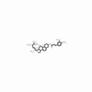 Cc1ccc(/C=C/C(=O)O[C@H]2CC[C@@]3(C)C(=CC=C4C3CC[C@@]3(C)C4CC[C@@H]3[C@H](C)/C=C/[C@H](C)C(C)C)C2)cc1C